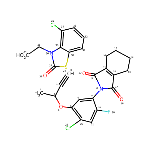 C#CC(C)Oc1cc(N2C(=O)C3=C(CCCC3)C2=O)c(F)cc1Cl.O=C(O)Cn1c(=O)sc2cccc(Cl)c21